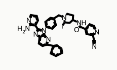 N#Cc1cc(C(=O)NC2CCN(Cc3ccc(-n4c(-c5cccnc5N)nc5ccc(-c6ccccc6)nc54)cc3)C(I)C2)ccn1